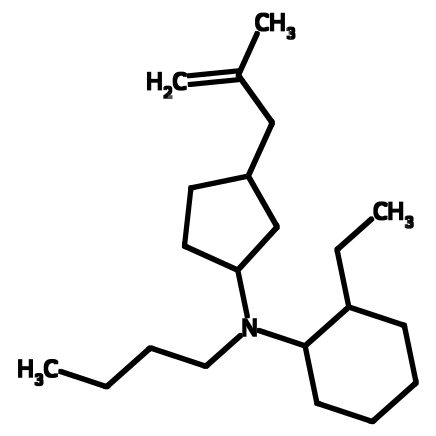 C=C(C)CC1CCC(N(CCCC)C2CCCCC2CC)C1